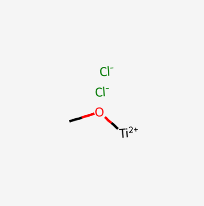 C[O][Ti+2].[Cl-].[Cl-]